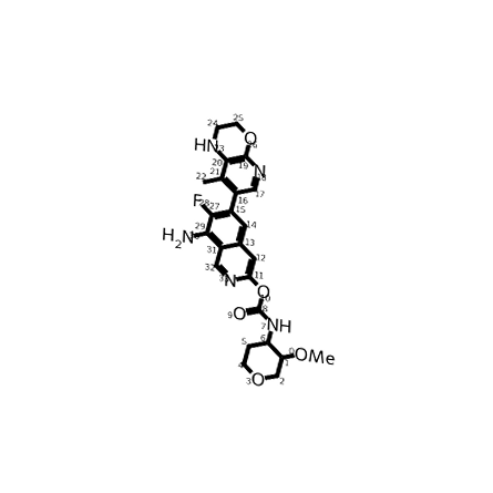 COC1COCCC1NC(=O)Oc1cc2cc(-c3cnc4c(c3C)NCCO4)c(F)c(N)c2cn1